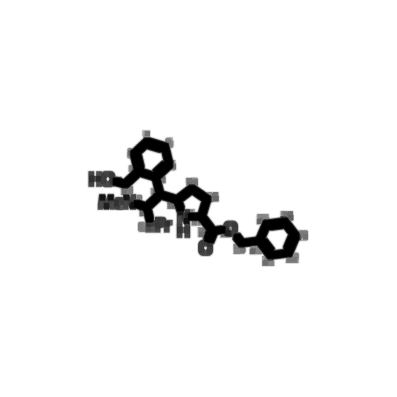 CCCC(NC)C(c1ccccc1CO)C1CCC(C(=O)OCc2ccccc2)N1